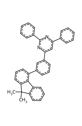 CC1(C)c2ccccc2-c2c(-c3cccc(-c4cc(-c5ccccc5)nc(-c5ccccc5)n4)c3)cccc21